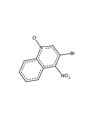 O=[N+]([O-])c1c(Br)c[n+]([O-])c2ccccc12